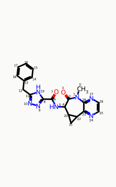 CN1C(=O)C(NC(=O)c2nnc(Cc3ccccc3)[nH]2)C2CC2c2nccnc21